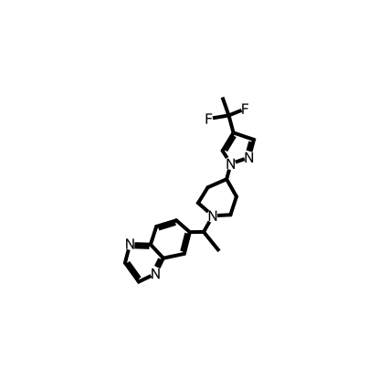 CC(c1ccc2nccnc2c1)N1CCC(n2cc(C(C)(F)F)cn2)CC1